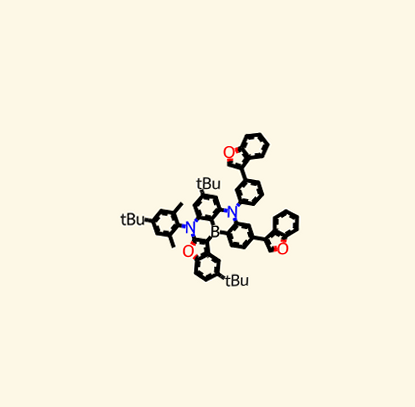 Cc1cc(C(C)(C)C)cc(C)c1N1c2cc(C(C)(C)C)cc3c2B(c2ccc(-c4coc5ccccc45)cc2N3c2cccc(-c3coc4ccccc34)c2)c2c1oc1ccc(C(C)(C)C)cc21